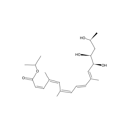 CC(=CC=CC(C)=C[C@H](O)[C@@H](O)C[C@H](C)O)C=C(C)C=CC(=O)OC(C)C